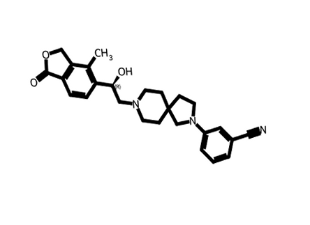 Cc1c([C@@H](O)CN2CCC3(CC2)CCN(c2cccc(C#N)c2)C3)ccc2c1COC2=O